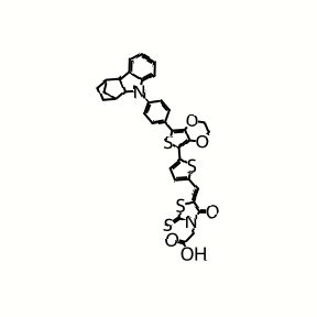 O=C(O)CN1C(=O)/C(=C/c2ccc(-c3sc(-c4ccc(N5c6ccccc6C6C7CCC(C7)C65)cc4)c4c3OCCO4)s2)SC1=S